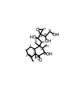 CC1=CCCC2C1(C)C(=O)C(O)C(C)C2(C)CC(O)C1(C(O)CO)CO1